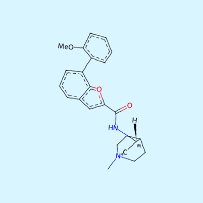 COc1ccccc1-c1cccc2cc(C(=O)N[C@H]3C[N+]4(C)CCC3CC4)oc12